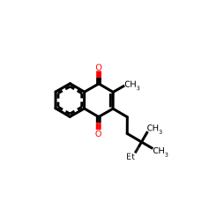 CCC(C)(C)CCC1=C(C)C(=O)c2ccccc2C1=O